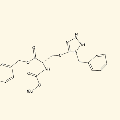 CC(C)(C)OC(=O)N[C@@H](CCC1=NNNN1Cc1ccccc1)C(=O)OCc1ccccc1